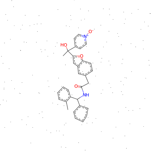 Cc1ccccc1C(NC(=O)Cc1ccc2oc(C(C)(O)c3cc[n+]([O-])cc3)cc2c1)c1ccccc1